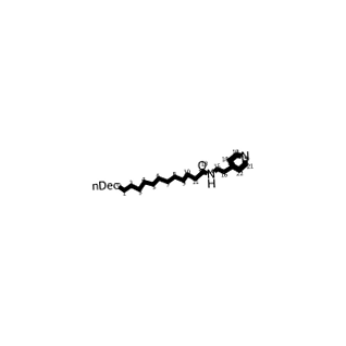 CCCCCCCCCCCCCCCCCCCCCC(=O)NCCc1ccncc1